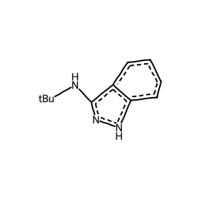 CC(C)(C)Nc1n[nH]c2ccccc12